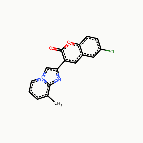 Cc1cccn2cc(-c3cc4cc(Cl)ccc4oc3=O)nc12